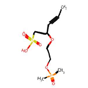 CC#CC(CS(=O)(=O)O)OCCOP(C)(C)=O